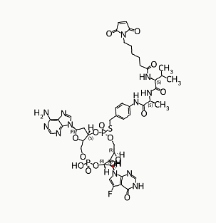 CC(C)[C@H](NC(=O)CCCCCN1C(=O)C=CC1=O)C(=O)N[C@@H](C)C(=O)Nc1ccc(CSP2(=O)OC[C@H]3O[C@@H](n4cc(F)c5c(=O)[nH]cnc54)[C@H](OP(=O)(O)OCC4O[C@@H](n5cnc6c(N)ncnc65)C[C@@H]4O2)[C@@H]3O)cc1